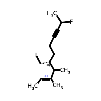 C/C=C(\C)C(C)[C@H](CI)CCC#CC(C)F